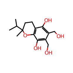 CC(C)C1(C)CCc2c(O)c(CO)c(CO)c(O)c2O1